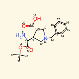 CC(C)(C)OC(=O)C(N)[C@@H]1CN(Cc2ccccc2)C[C@H]1C(=O)O